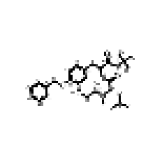 CC(C)C[C@@H](C(=O)NC(Cc1ccc(OCc2ccccc2)cc1)C(=O)NC(C)(C)C)N(C)[C@@H](C)CO